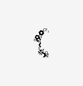 Cc1ncoc1-c1nnc(SCCCN2C[C@H]3CC[C@H](c4ccc(C(F)(F)F)cc4)[C@H]3C2)n1C